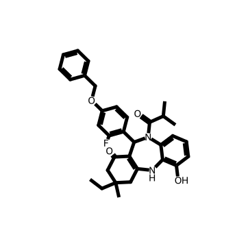 CCC1(C)CC(=O)C2=C(C1)Nc1c(O)cccc1N(C(=O)C(C)C)C2c1ccc(OCc2ccccc2)cc1F